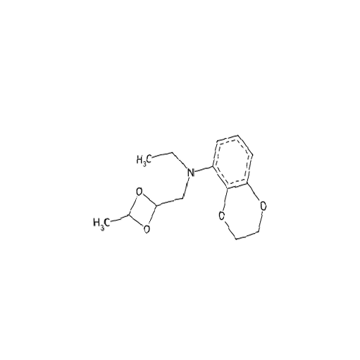 CCN(CC1OC(C)O1)c1cccc2c1OCCO2